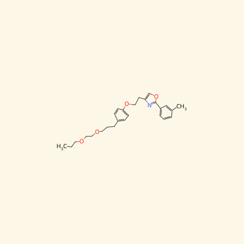 CCCOCCOCCCc1ccc(OCCc2coc(-c3cccc(C)c3)n2)cc1